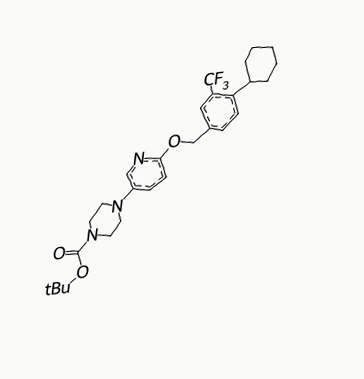 CC(C)(C)OC(=O)N1CCN(c2ccc(OCc3ccc(C4CCCCC4)c(C(F)(F)F)c3)nc2)CC1